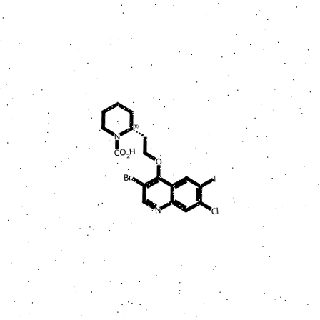 O=C(O)N1CCCC[C@@H]1CCOc1c(Br)cnc2cc(Cl)c(I)cc12